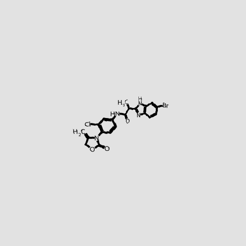 C=C1COC(=O)N1c1ccc(NC(=O)C(C)c2nc3ccc(Br)cc3[nH]2)cc1Cl